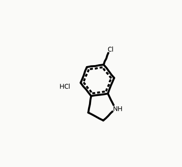 Cl.Clc1ccc2c(c1)NCC2